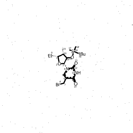 CC[C@H]1O[C@@H](n2cc(CBr)c(=O)[nH]c2=O)C(O[Si](C)(C)C(C)(C)C)[C@H]1C